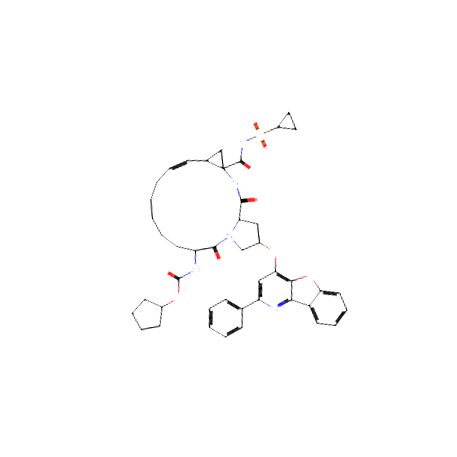 O=C(NC1CCCCCC=CC2CC2(C(=O)NS(=O)(=O)C2CC2)NC(=O)C2CC(Oc3cc(-c4ccccc4)nc4c3oc3ccccc34)CN2C1=O)OC1CCCC1